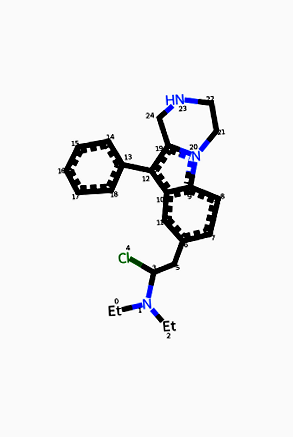 CCN(CC)C(Cl)Cc1ccc2c(c1)c(-c1ccccc1)c1n2CCNC1